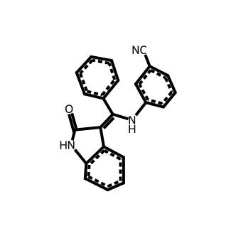 N#Cc1cccc(NC(=C2C(=O)Nc3ccccc32)c2ccccc2)c1